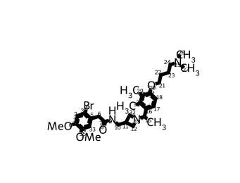 COc1cc(Br)c(CC(=O)NCC2CN(C(C)c3ccc(OCCCCN(C)C)c(C)c3C)C2)cc1OC